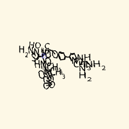 C[n+]1cc(-c2ccc(OCC(O/N=C(\C(=O)N[C@@H]3C(=O)N(OS(=O)(=O)[O-])C3(C)C)c3csc(N)n3)C(=O)O)cc2)ccc1NC(CN)CN